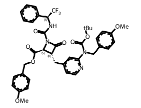 COc1ccc(COC(=O)[C@@H]2[C@@H](Cc3ccnc(N(Cc4ccc(OC)cc4)C(=O)OC(C)(C)C)c3)C(=O)N2C(=O)N[C@@H](c2ccccc2)C(F)(F)F)cc1